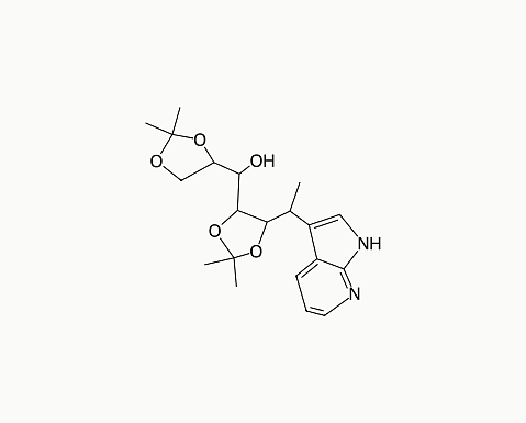 CC(c1c[nH]c2ncccc12)C1OC(C)(C)OC1C(O)C1COC(C)(C)O1